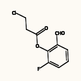 O=Cc1cccc(F)c1OC(=O)CCCl